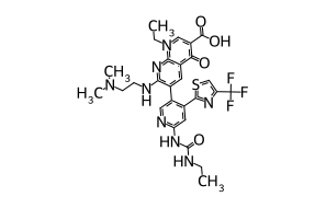 CCNC(=O)Nc1cc(-c2nc(C(F)(F)F)cs2)c(-c2cc3c(=O)c(C(=O)O)cn(CC)c3nc2NCCN(C)C)cn1